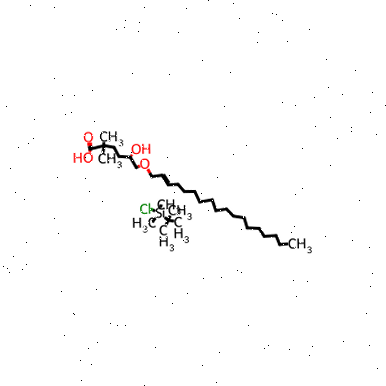 CC(C)(C)[Si](C)(C)Cl.CCCCCCCCCCCCCCC/C=C/COC[C@H](O)CCC(C)(C)C(=O)O